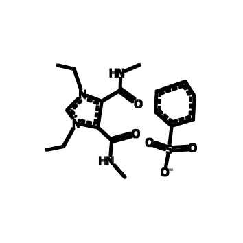 CCn1c[n+](CC)c(C(=O)NC)c1C(=O)NC.O=S(=O)([O-])c1ccccc1